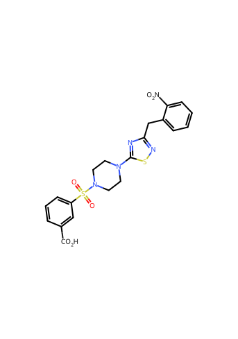 O=C(O)c1cccc(S(=O)(=O)N2CCN(c3nc(Cc4ccccc4[N+](=O)[O-])ns3)CC2)c1